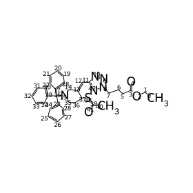 CCOC(=O)CCCn1nnc(C=C2CN(C(c3ccccc3)(c3ccccc3)c3ccccc3)CCC2SC(C)=O)n1